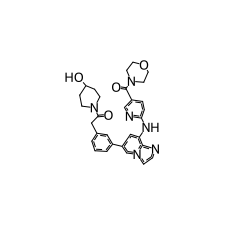 O=C(Cc1cccc(-c2cc(Nc3ccc(C(=O)N4CCOCC4)cn3)c3nccn3c2)c1)N1CCC(O)CC1